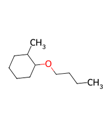 CCCCOC1CCCCC1C